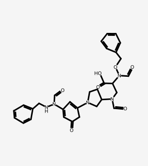 O=CN(NCc1ccccc1)C1=CC(=O)CC(N2CCC(N(C=O)CC(C(=O)O)N(C=O)OCc3ccccc3)C2)=C1